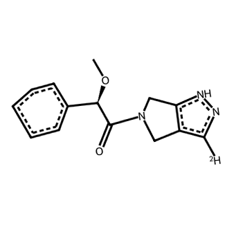 [2H]c1n[nH]c2c1CN(C(=O)[C@H](OC)c1ccccc1)C2